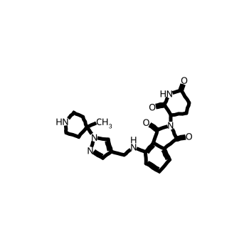 CC1(n2cc(CNc3cccc4c3C(=O)N(C3CCC(=O)NC3=O)C4=O)cn2)CCNCC1